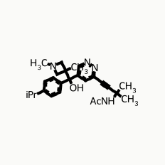 CC(=O)NC(C)(C)C#Cc1cc(C(O)(c2ccc(C(C)C)cc2)C2(C)CN(C)C2)cnn1